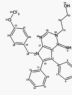 N=c1c2c(-c3ccccc3)c(-c3ccccc3)n(Cc3ccc(OC(F)(F)F)cc3)c2ncn1CCCO